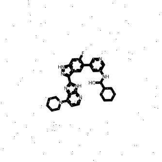 OC(Nc1cncc(-c2cc3c(-c4nc5c(N6CCCCC6)ccnc5[nH]4)n[nH]c3cc2F)c1)C1CCCCC1